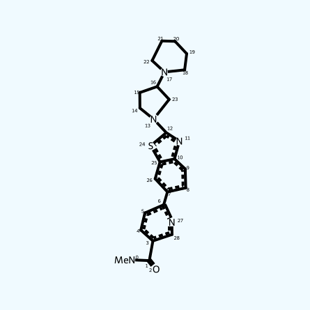 CNC(=O)c1ccc(-c2ccc3nc(N4CCC(N5CCCCC5)C4)sc3c2)nc1